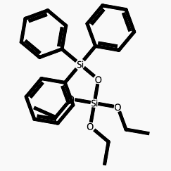 CCO[Si](OCC)(OCC)O[Si](c1ccccc1)(c1ccccc1)c1ccccc1